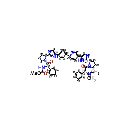 COC(=O)N[C@@H](C(=O)N1CCC[C@H]1c1ncc(-c2ccc(-c3ccc(-c4cnc([C@@H]5CCCN5C(=O)[C@@H](c5ccccc5)N(C)C)[nH]4)cn3)cc2)[nH]1)c1ccccc1